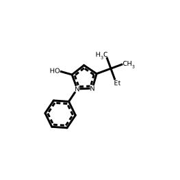 CCC(C)(C)c1cc(O)n(-c2ccccc2)n1